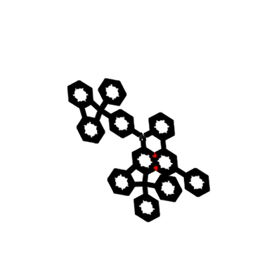 c1ccc(-c2cccc(-c3ccccc3N(c3ccc(C4(c5ccccc5)c5ccccc5-c5ccccc54)cc3)c3ccc4c(c3)-c3ccccc3C4(c3ccccc3)c3ccccc3)c2)cc1